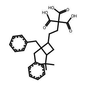 CC(C)(C)C1CC(CCC(C(=O)O)(C(=O)O)C(=O)O)C1(Cc1ccccc1)Cc1ccccc1